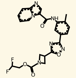 Cc1ccc(-c2noc(C3CN(C(=O)OCC(F)F)C3)n2)cc1NC(=O)c1cnc2ccccn12